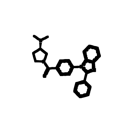 CN(C)[C@H]1CCN(C(=O)c2ccc(-n3c(-c4ccccc4)nc4ccccc43)cc2)C1